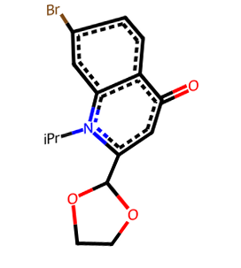 CC(C)n1c(C2OCCO2)cc(=O)c2ccc(Br)cc21